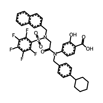 O=C(O)c1ccc(N(Cc2ccc(C3CCCCC3)cc2)C(=O)CN(Cc2ccc3ccccc3c2)S(=O)(=O)c2c(F)c(F)c(F)c(F)c2F)cc1O